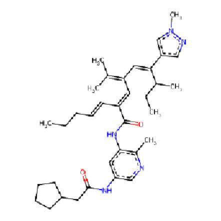 CCC/C=C/C(=C\C(/C=C(/c1cnn(C)c1)C(C)CC)=C(C)C)C(=O)Nc1cc(NC(=O)CC2CCCC2)cnc1C